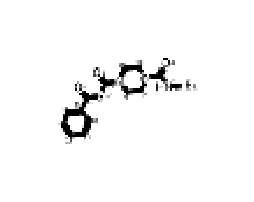 CCCCNC(=O)N1CCN(C(=O)SC(=O)c2ccccc2)CC1